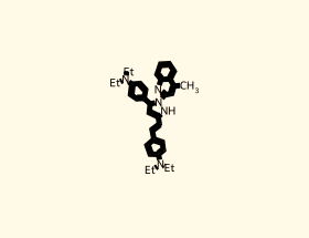 CCN(CC)c1ccc(C=CC2=CC(c3ccc(N(CC)CC)cc3)N(c3cc(C)c4ccccc4n3)N2)cc1